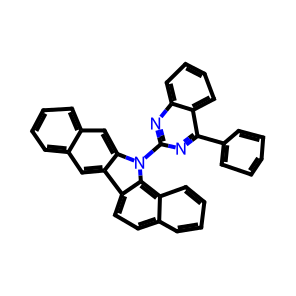 c1ccc(-c2nc(-n3c4cc5ccccc5cc4c4ccc5ccccc5c43)nc3ccccc23)cc1